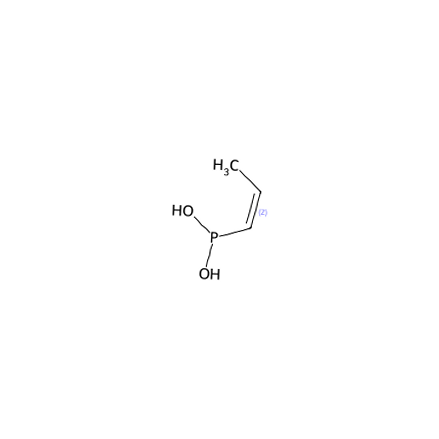 C/C=C\P(O)O